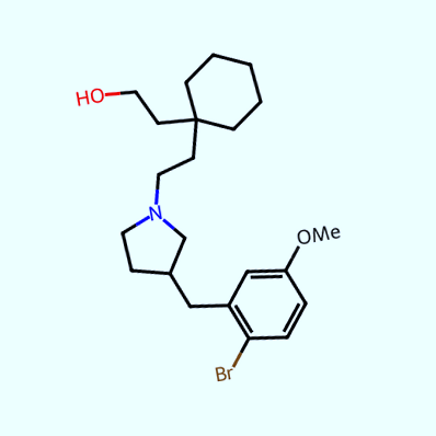 COc1ccc(Br)c(CC2CCN(CCC3(CCO)CCCCC3)C2)c1